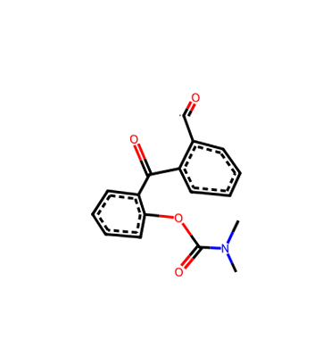 CN(C)C(=O)Oc1ccccc1C(=O)c1ccccc1[C]=O